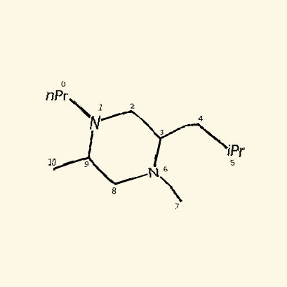 CCCN1CC(CC(C)C)N(C)CC1C